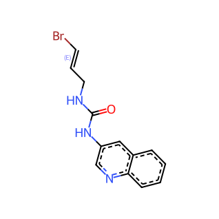 O=C(NC/C=C/Br)Nc1cnc2ccccc2c1